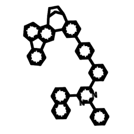 c1ccc(-c2nc(-c3cccc(-c4ccc(-c5ccc6c(c5)-c5cc7c8c(cccc8c5C5CCC6C5)-c5ccccc5-7)cc4)c3)cc(-c3cccc4ccccc34)n2)cc1